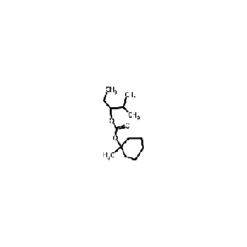 CCC(OC(=O)OC1(C)CCCCC1)C(C)C